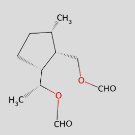 C[C@H]1CC[C@@H]([C@@H](C)OC=O)[C@H]1COC=O